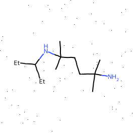 CCC(CC)NC(C)(C)CCC(C)(C)N